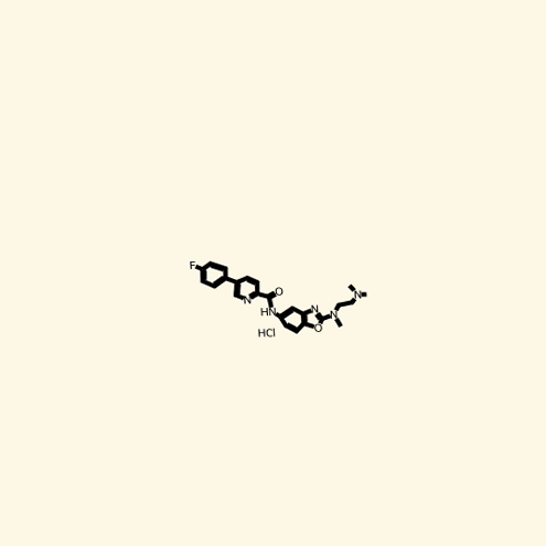 CN(C)CCN(C)c1nc2cc(NC(=O)c3ccc(-c4ccc(F)cc4)cn3)ccc2o1.Cl